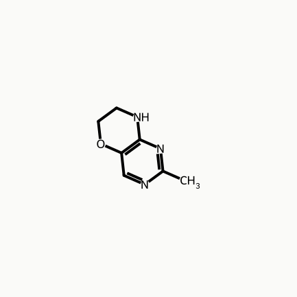 Cc1ncc2c(n1)NCCO2